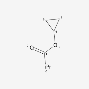 CC(C)C(=O)OC1CC1